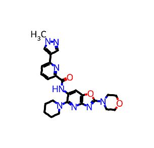 Cn1cc(-c2cccc(C(=O)Nc3cc4oc(N5CCOCC5)nc4nc3N3CCCCC3)n2)cn1